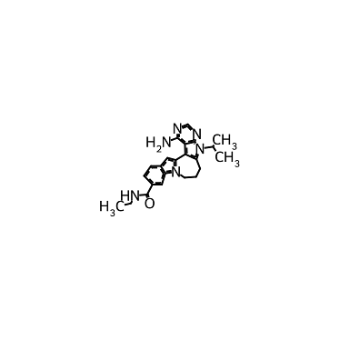 CCNC(=O)c1ccc2cc3n(c2c1)CCCc1c-3c2c(N)ncnc2n1C(C)C